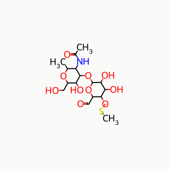 CSOC1C(C=O)OC(OC2C(O)C(CO)OC(C)C2NC(C)=O)C(O)C1O